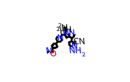 [2H]C([2H])([2H])n1c(CN2CCC(c3ccc(C(=O)N(C)C)cc3)CC2)cc2c(-c3ccc(N)nc3C#N)ccnc21